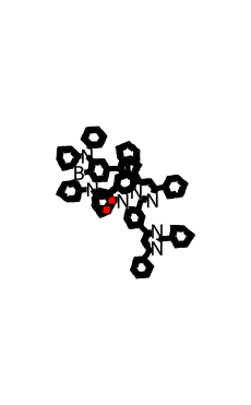 c1ccc(-c2ccc3c(c2)c2ccccc2n3-c2ccc(-c3cc(-c4ccccc4)nc(-c4ccccc4)n3)cc2-c2nc(-c3ccccc3)cc(-c3cccc(-c4cc5c6c(c4)N(c4ccccc4)c4ccccc4B6c4ccccc4N5c4ccccc4)c3)n2)cc1